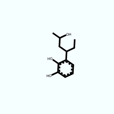 CCC(CC(C)O)c1cccc(O)c1O